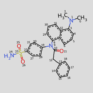 CN(C)c1cccc2c(N(C(=O)Cc3ccccc3)c3ccc(S(N)(=O)=O)cc3)cccc12